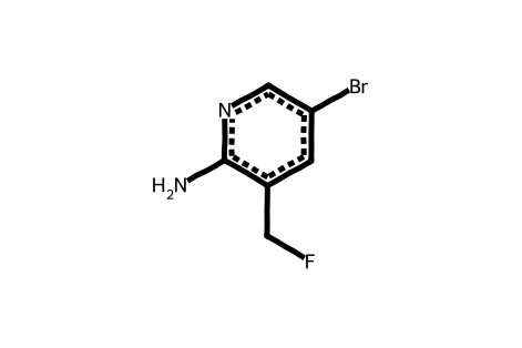 Nc1ncc(Br)cc1CF